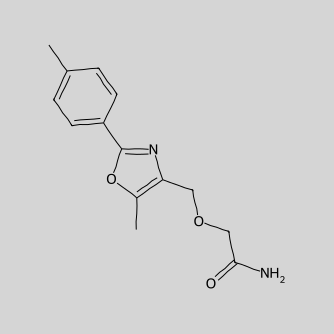 Cc1ccc(-c2nc(COCC(N)=O)c(C)o2)cc1